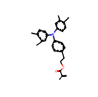 C=C(C)C(=O)OCCc1ccc(N(c2ccc(C)c(C)c2)c2ccc(C)c(C)c2)cc1